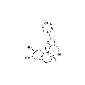 Oc1cc2c(cc1O)[C@H]1c3cc(-c4ccccc4)sc3CN[C@@H]1CC2